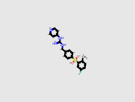 Cc1ccc(F)cc1S(=O)(=O)c1ccc(CNC(=N)Nc2ccncc2)cc1